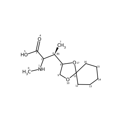 CNC(C(=O)O)[C@@H](C)C1COC2(CCCCC2)O1